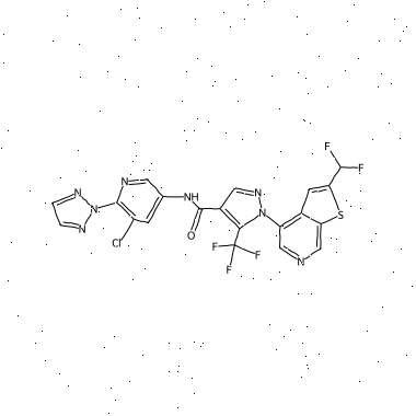 O=C(Nc1cnc(-n2nccn2)c(Cl)c1)c1cnn(-c2cncc3sc(C(F)F)cc23)c1C(F)(F)F